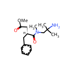 COC(=O)C[C@@H](Cc1ccccc1)C(=O)N(C)CC(C)(C)N